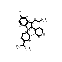 CC(C)C1CCC(n2c(C3CCNCC3)c(CCN)c3cc(F)ccc32)CC1